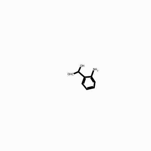 Nc1ccccc1C(O)C=O